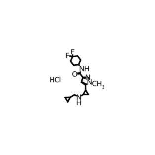 Cl.Cn1nc(C(=O)NC2CCC(F)(F)CC2)cc1C1CC1NCC1CC1